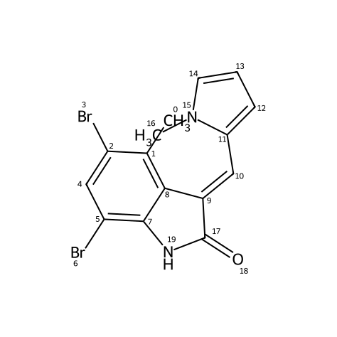 Cc1c(Br)cc(Br)c2c1C(=Cc1cccn1C)C(=O)N2